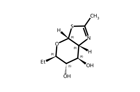 CC[C@H]1O[C@@H]2SC(C)=N[C@@H]2[C@@H](O)[C@@H]1O